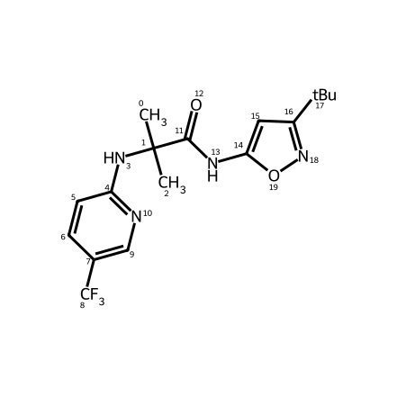 CC(C)(Nc1ccc(C(F)(F)F)cn1)C(=O)Nc1cc(C(C)(C)C)no1